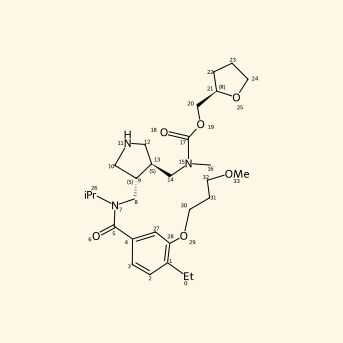 CCc1ccc(C(=O)N(C[C@@H]2CNC[C@H]2CN(C)C(=O)OC[C@H]2CCCO2)C(C)C)cc1OCCCOC